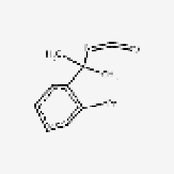 CCCc1ccccc1C(C)(C)N=C=O